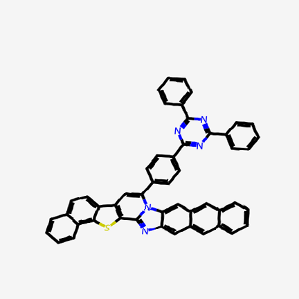 c1ccc(-c2nc(-c3ccccc3)nc(-c3ccc(-c4cc5c6ccc7ccccc7c6sc5c5nc6cc7cc8ccccc8cc7cc6n45)cc3)n2)cc1